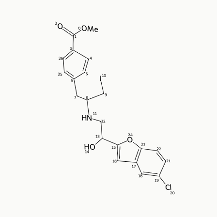 COC(=O)c1ccc(CC(CI)NCC(O)c2cc3cc(Cl)ccc3o2)cc1